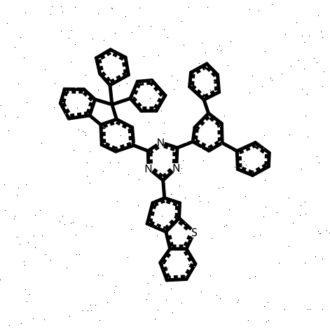 c1ccc(-c2cc(-c3ccccc3)cc(-c3nc(-c4ccc5c(c4)C(c4ccccc4)(c4ccccc4)c4ccccc4-5)nc(-c4ccc5c(c4)sc4ccccc45)n3)c2)cc1